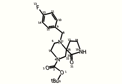 CC(C)(C)OC(=O)N1CCN(Cc2ccc(F)cc2)C2(CCNC2=O)C1